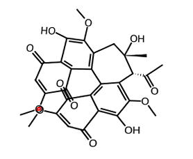 COC1=CC(=O)c2c(O)c(OC)c3c(c2C1=O)-c1c2c(c(O)c(OC)c1[C@@H](C(C)=O)[C@@](C)(O)C3)C(=O)C=C(OC)C2=O